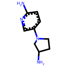 Nc1ccc(N2CCC(N)C2)cn1